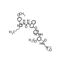 CCCCc1cc(NC(=O)Nc2ccc(Oc3ccnc(Nc4cc(OC)cc(C(=O)NCCN5CCOCC5)c4)n3)c3ccccc23)n(-c2ccc(OC)cc2)n1